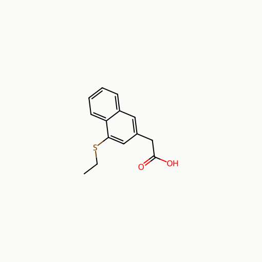 CCSc1cc(CC(=O)O)cc2ccccc12